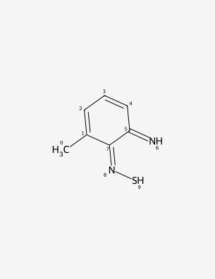 CC1=CC=CC(=N)/C1=N\S